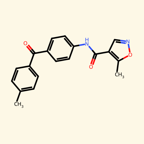 Cc1ccc(C(=O)c2ccc(NC(=O)c3cnoc3C)cc2)cc1